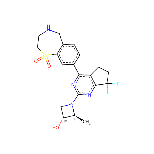 C[C@H]1[C@H](O)CN1c1nc(-c2ccc3c(c2)S(=O)(=O)CCNC3)c2c(n1)C(F)(F)CC2